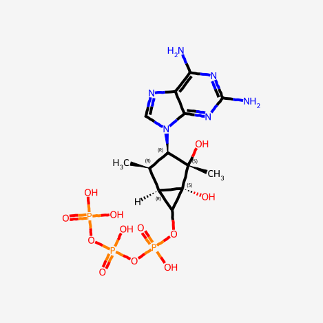 C[C@H]1[C@@H](n2cnc3c(N)nc(N)nc32)[C@](C)(O)[C@@]2(O)C(OP(=O)(O)OP(=O)(O)OP(=O)(O)O)[C@@H]12